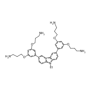 CCn1c2ccc(-c3cc(OCCCN)cc(OCCCN)c3)cc2c2cc(-c3cc(OCCCN)cc(OCCCN)c3)ccc21